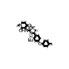 Cc1ccc(Oc2ccc([C@H](CC(=O)[O-])NC(=O)NC3C(=O)C=CN(C)C3=O)cc2)cc1.[Na+]